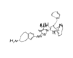 Nc1nc(Nc2ccc3c(c2)CC[C@@H](N)CC3)nn1-c1cc(-c2ccccc2)c2c(n1)C1CCN2CC1